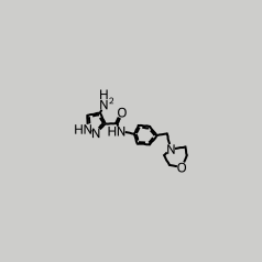 Nc1c[nH]nc1C(=O)Nc1ccc(CN2CCOCC2)cc1